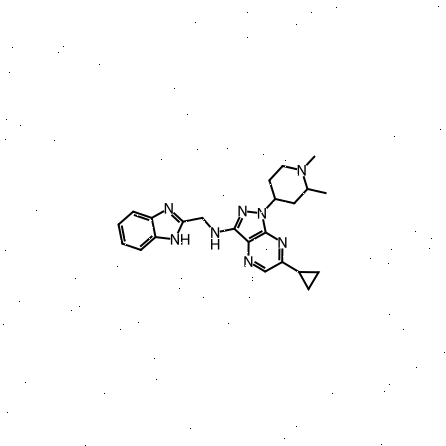 CC1CC(n2nc(NCc3nc4ccccc4[nH]3)c3ncc(C4CC4)nc32)CCN1C